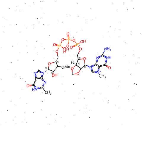 COC1[C@@H](COP(=O)(O)OP(=O)(O)OP(=O)(O)OC[C@H]2O[C@@H](n3c[n+](C)c4c(=O)[nH]c(N)nc43)C3OCO[C@H]32)O[C@@H](n2cnc3c(=O)[nH]c(C)nc32)[C@H]1O